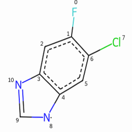 Fc1cc2c(cc1Cl)[N]C=N2